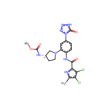 Cc1[nH]c(C(=O)Nc2ccc(-n3nn[nH]c3=O)cc2N2CC[C@H](NC(=O)OC(C)(C)C)C2)c(Cl)c1Cl